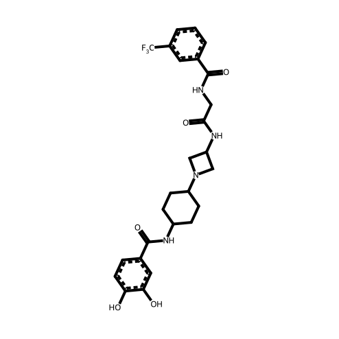 O=C(CNC(=O)c1cccc(C(F)(F)F)c1)NC1CN(C2CCC(NC(=O)c3ccc(O)c(O)c3)CC2)C1